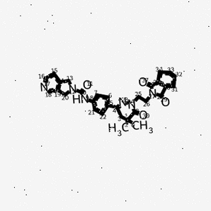 CC1(C)CC(c2ccc(NC(=O)N3Cc4ccncc4C3)cc2)=NN(CCN2C(=O)c3ccccc3C2=O)C1=O